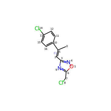 C/C(=C\c1noc(CCl)n1)c1ccc(Cl)cc1